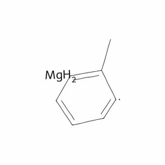 Cc1[c]cccc1.[MgH2]